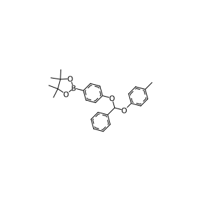 Cc1ccc(OC(Oc2ccc(B3OC(C)(C)C(C)(C)O3)cc2)c2ccccc2)cc1